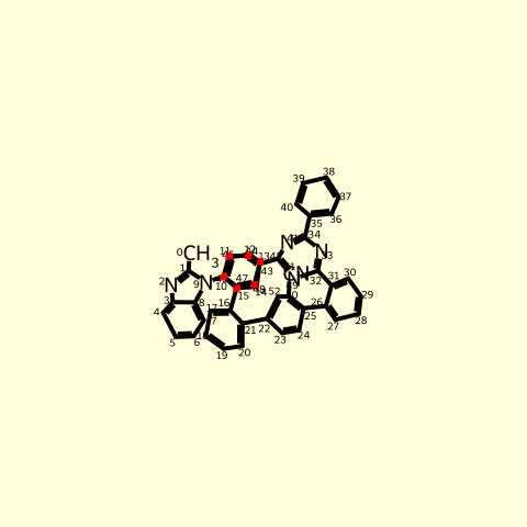 Cc1nc2ccccc2n1-c1ccccc1-c1ccccc1-c1ccc(-c2ccccc2-c2nc(-c3ccccc3)nc(-c3ccccc3)n2)c(C#N)c1